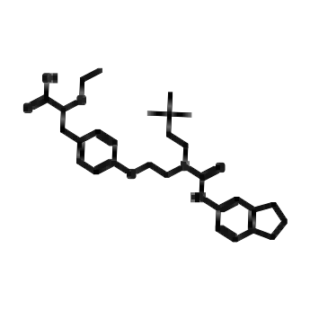 CCOC(Cc1ccc(OCCN(CCC(C)(C)C)C(=O)Nc2ccc3c(c2)CCC3)cc1)C(=O)O